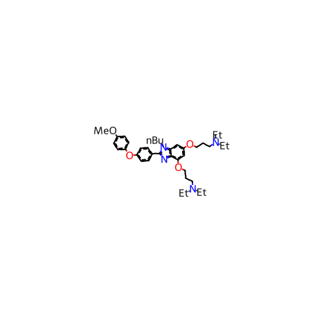 CCCCn1c(-c2ccc(Oc3ccc(OC)cc3)cc2)nc2c(OCCCN(CC)CC)cc(OCCCN(CC)CC)cc21